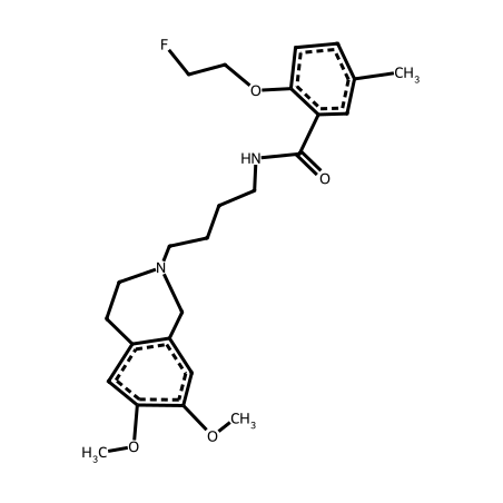 COc1cc2c(cc1OC)CN(CCCCNC(=O)c1cc(C)ccc1OCCF)CC2